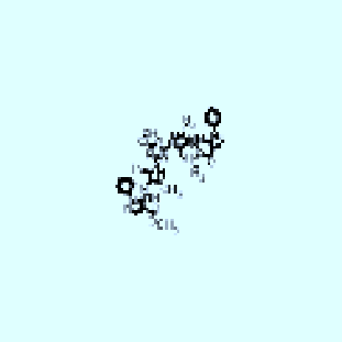 COC(=O)c1cnn(-c2ccccc2)c1N/N=C1/C(=N)N(c2nc(OC)nc(N3N=C(C)/C(=N\Nc4c(C(=O)OC)cnn4-c4ccccc4)C3=N)n2)N=C1C